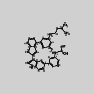 CCCC(O)Nc1cncc(-c2cc3c(-c4cc5c(-c6cc(F)cc(NCCN(C)C)c6)ccnc5[nH]4)n[nH]c3cn2)c1